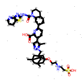 Cc1c(-c2ccc(-c3ccc4c(c3)N(C(=O)Nc3nc5ncccc5s3)CCC4)nc2C(=O)O)cnn1CC12CC3(C)CC(C)(C1)CC(OCCNCCS(=O)(=O)O)(C3)C2